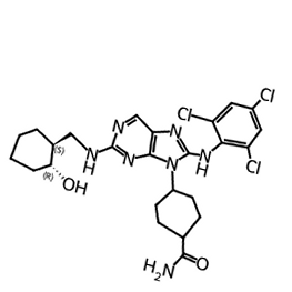 NC(=O)C1CCC(n2c(Nc3c(Cl)cc(Cl)cc3Cl)nc3cnc(NC[C@@H]4CCCC[C@H]4O)nc32)CC1